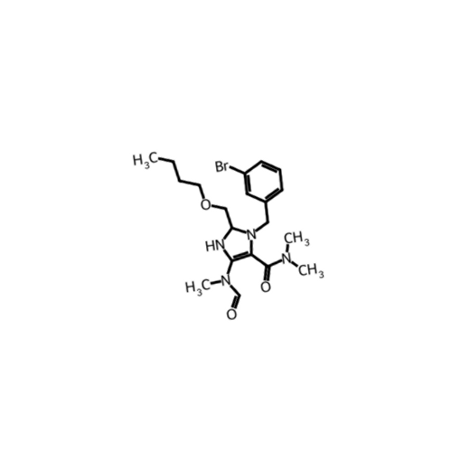 CCCCOCC1NC(N(C)C=O)=C(C(=O)N(C)C)N1Cc1cccc(Br)c1